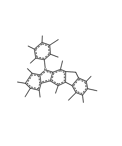 Cc1c(C)c(C)c(-n2c3c(C)c(C)c(C)c(C)c3c3c(C)c4c(c(C)c32)Cc2c(C)c(C)c(C)c(C)c2-4)c(C)c1C